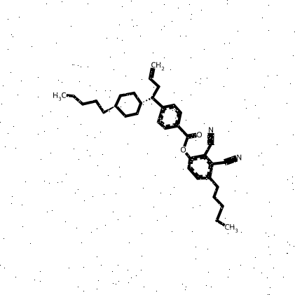 C=CCC(c1ccc(C(=O)Oc2ccc(CCCCC)c(C#N)c2C#N)cc1)[C@H]1CC[C@H](CCCCC)CC1